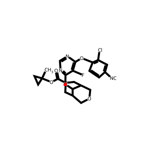 [C-]#[N+]c1ccc(Oc2ncnc(OC3C4COCC3CN(C(=O)OC3(C)CC3)C4)c2F)c(Cl)c1